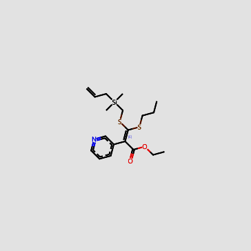 C=CC[Si](C)(C)CS/C(SCCC)=C(/C(=O)OCC)c1cccnc1